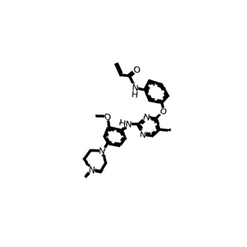 C=CC(=O)Nc1cccc(Oc2nc(Nc3ccc(N4CCN(C)CC4)cc3OC)ncc2C)c1